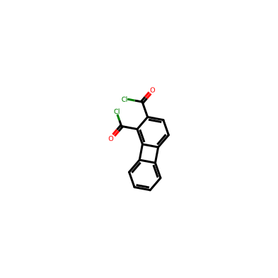 O=C(Cl)c1ccc2c(c1C(=O)Cl)-c1ccccc1-2